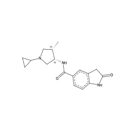 C[C@H]1CN(C2CC2)C[C@H]1NC(=O)c1ccc2c(c1)CC(=O)N2